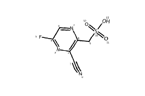 N#Cc1nc(F)cnc1CS(=O)(=O)O